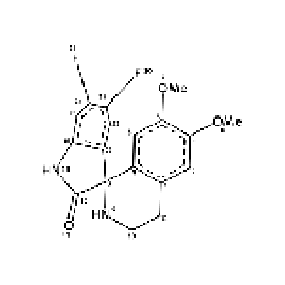 COc1cc2c(cc1OC)C1(NCC2)C(=O)Nc2cc(F)c(F)cc21